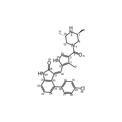 Cc1c(C(=O)N2C[C@H](C)N[C@@H](C)C2)c[nH]c1/C=C1\C(=O)Nc2cccc(-c3ccc(Cl)cc3)c21